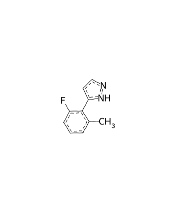 Cc1cccc(F)c1-c1ccn[nH]1